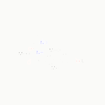 CCOCc1cc(OC)c(-c2ccc(C[C@H](NC(=O)[C@@H]3CCCN3)C(=O)OC)cc2)c(OC)c1